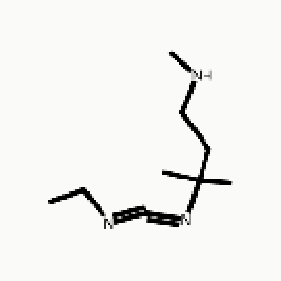 CCN=C=NC(C)(C)CCNC